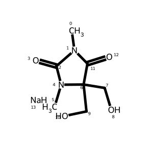 CN1C(=O)N(C)C(CO)(CO)C1=O.[NaH]